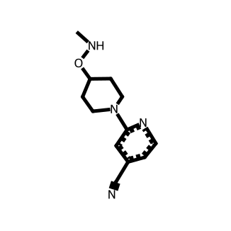 CNOC1CCN(c2cc(C#N)ccn2)CC1